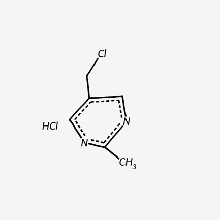 Cc1ncc(CCl)cn1.Cl